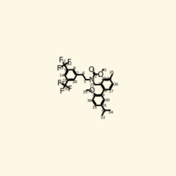 COC(=O)N(CCc1cc(C(F)(F)F)cc(C(F)(F)F)c1)Cc1cc(C)ccc1-c1cc(C(C)C)ccc1OC